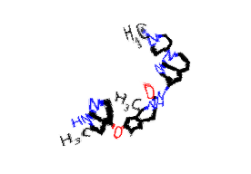 Cc1cc2c(Oc3ccc4c(c3)[C@H](C)N(C(=O)Nc3cnc5c(c3)CCCN5C3CCN(C)CC3)CC4)ccnc2[nH]1